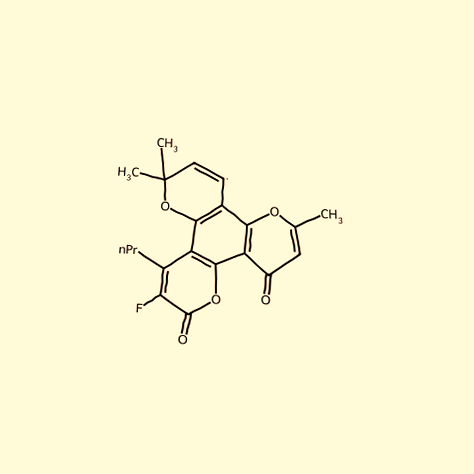 CCCc1c(F)c(=O)oc2c1c1c(c3oc(C)cc(=O)c32)[C]=CC(C)(C)O1